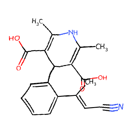 CC1=C(C(=O)O)C(c2ccccc2/C(C)=C/C#N)C(C(=O)O)=C(C)N1